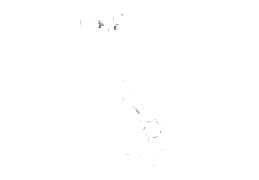 CCOC(=O)Cc1ccc(C#CCCCCCCCCC(=O)OC(C)(C)C)cc1